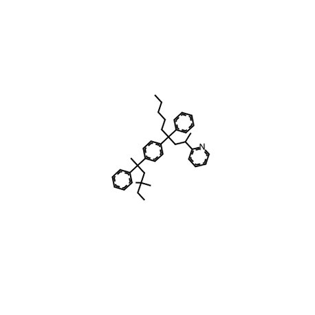 CCCCCC(CC(C)c1ccccn1)(c1ccccc1)c1ccc(C(C)(CC(C)(C)CC)c2ccccc2)cc1